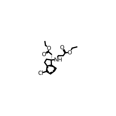 CCOC(=O)CCN[C@]1(CC(=O)OCC)CCc2c(Cl)cccc21